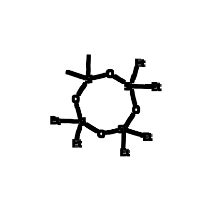 CC[Si]1(CC)O[Si](C)(C)O[Si](CC)(CC)O[Si](CC)(CC)O1